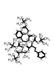 C[C@@H](OC(=O)C(CCc1ccccc1)N(C(=O)OC(C)(C)C)[C@@H]1CCc2ccccc2N(CC(=O)OC(C)(C)C)C1=O)[C@H](NC(=O)OC(C)(C)C)C(=O)OC(C)(C)C